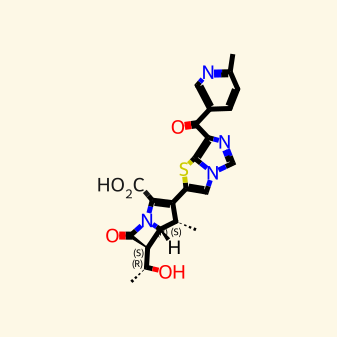 Cc1ccc(C(=O)c2ncn3cc(C4=C(C(=O)O)N5C(=O)[C@H]([C@@H](C)O)[C@H]5[C@H]4C)sc23)cn1